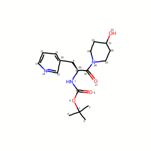 CC(C)(C)OC(=O)N[C@@H](Cc1cccnc1)C(=O)N1CCC(O)CC1